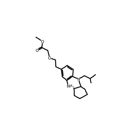 COC(=O)COCCc1ccc(N(CC(C)C)C2CCCCC2)c(N)c1